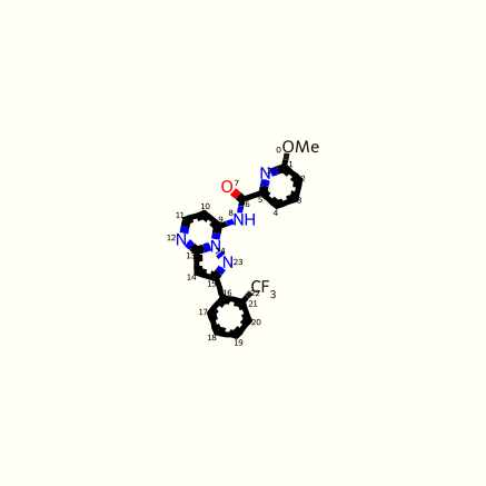 COc1cccc(C(=O)Nc2ccnc3cc(-c4ccccc4C(F)(F)F)nn23)n1